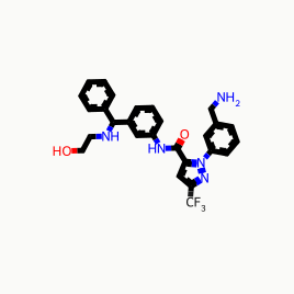 NCc1cccc(-n2nc(C(F)(F)F)cc2C(=O)Nc2cccc(C(NCCO)c3ccccc3)c2)c1